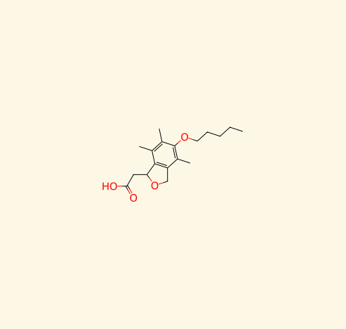 CCCCCOc1c(C)c(C)c2c(c1C)COC2CC(=O)O